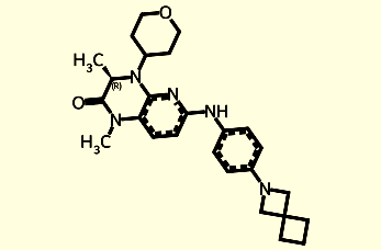 C[C@@H]1C(=O)N(C)c2ccc(Nc3ccc(N4CC5(CCC5)C4)cc3)nc2N1C1CCOCC1